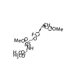 COC(=O)c1nc(NCCC2COC(C)(C)O2)sc1CCCOc1ccc(C#CCN(C)Cc2ccc(OC)cc2)cc1F